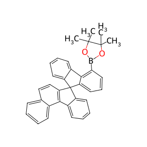 CC1(C)OB(c2cccc3c2-c2ccccc2C32c3ccccc3-c3c2ccc2ccccc32)OC1(C)C